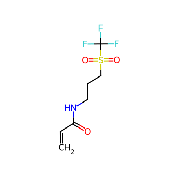 C=CC(=O)NCCCS(=O)(=O)C(F)(F)F